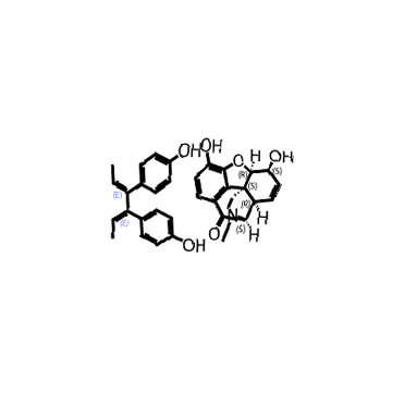 C/C=C(/C(=C/C)c1ccc(O)cc1)c1ccc(O)cc1.CN1CC[C@]23c4c5ccc(O)c4O[C@H]2[C@@H](O)C=C[C@H]3[C@H]1C5=O